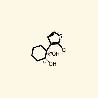 O[C@@H]1CCCC[C@@]1(O)c1ccsc1Cl